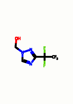 OCn1cnc(C(F)(F)C(F)(F)F)n1